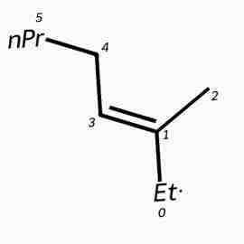 C[CH]C(C)=CCCCC